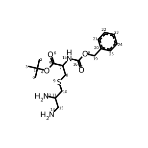 CC(C)(C)OC(=O)C(CSCC(N)CN)NC(=O)OCc1ccccc1